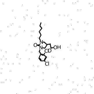 CCCCCCN1CC(CC(=O)O)CN(Cc2ccc(Cl)cc2Cl)C1=O